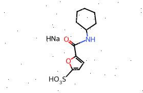 O=C(NC1CCCCC1)c1ccc(S(=O)(=O)O)o1.[NaH]